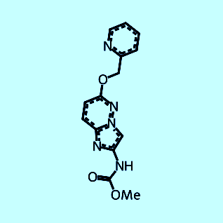 COC(=O)Nc1cn2nc(OCc3ccccn3)ccc2n1